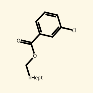 CCCCCCCCOC(=O)c1cccc(Cl)c1